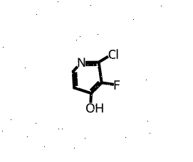 Oc1ccnc(Cl)c1F